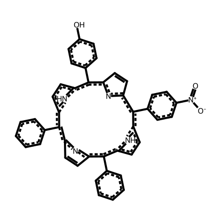 O=[N+]([O-])c1ccc(-c2c3nc(c(-c4ccc(O)cc4)c4ccc([nH]4)c(-c4ccccc4)c4nc(c(-c5ccccc5)c5ccc2[nH]5)C=C4)C=C3)cc1